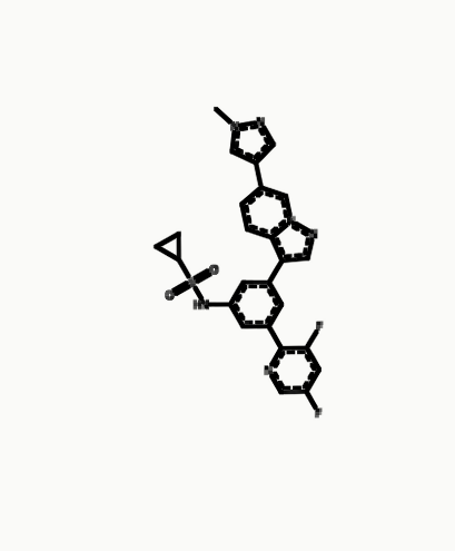 Cn1cc(-c2ccc3c(-c4cc(NS(=O)(=O)C5CC5)cc(-c5ncc(F)cc5F)c4)cnn3c2)cn1